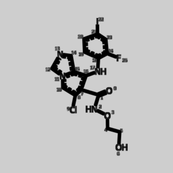 O=C(NOCCO)c1c(Cl)cn2cncc2c1Nc1ccc(I)cc1F